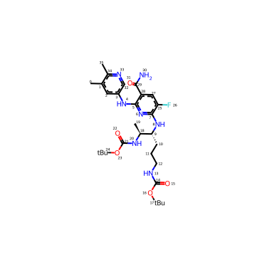 Cc1cc(Nc2nc(N[C@H](CCCNC(=O)OC(C)(C)C)[C@H](C)NC(=O)OC(C)(C)C)c(F)cc2C(N)=O)cnc1C